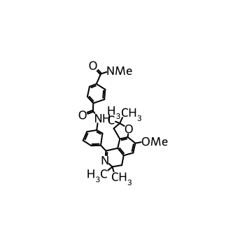 CNC(=O)c1ccc(C(=O)Nc2cccc(C3=NC(C)(C)Cc4cc(OC)c5c(c43)CC(C)(C)O5)c2)cc1